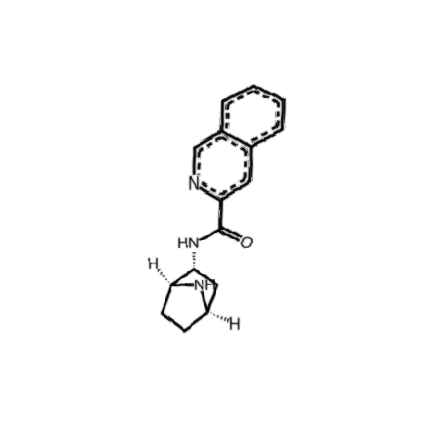 O=C(N[C@@H]1C[C@H]2CC[C@@H]1N2)c1cc2ccccc2cn1